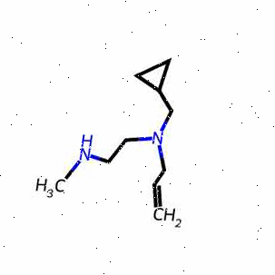 C=CCN(CCNC)CC1CC1